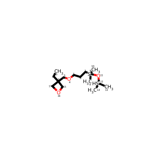 CCC1(COCCC[Si](C)(C)O[SiH](C)C)COC1